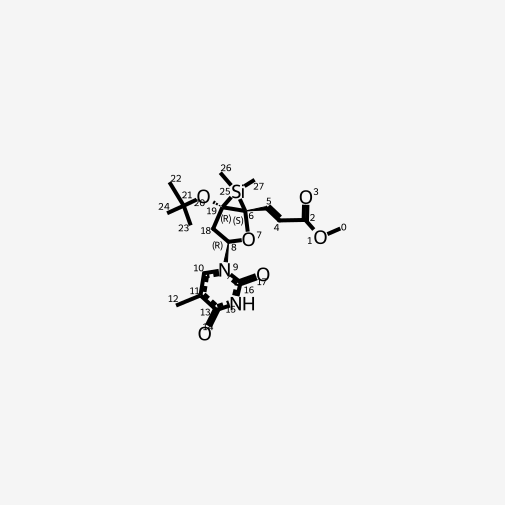 COC(=O)C=C[C@@]12O[C@@H](n3cc(C)c(=O)[nH]c3=O)C[C@@]1(OC(C)(C)C)[Si]2(C)C